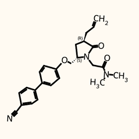 C=CC[C@@H]1C[C@@H](COc2ccc(-c3ccc(C#N)cc3)cc2)N(CC(=O)N(C)C)C1=O